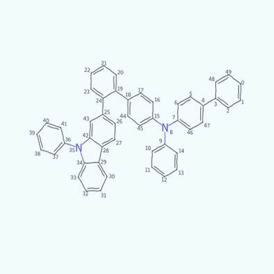 c1ccc(-c2ccc(N(c3ccccc3)c3ccc(-c4ccccc4-c4ccc5c6ccccc6n(-c6ccccc6)c5c4)cc3)cc2)cc1